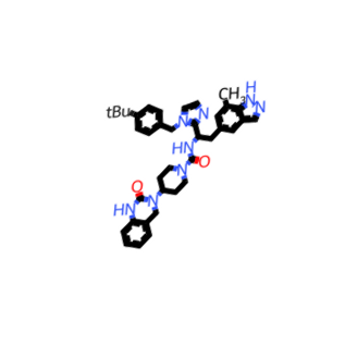 Cc1cc(CC(NC(=O)N2CCC(N3Cc4ccccc4NC3=O)CC2)c2nccn2Cc2ccc(C(C)(C)C)cc2)cc2cn[nH]c12